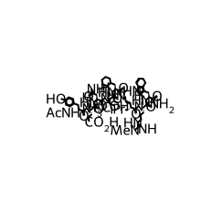 CNC(=N)NCCC[C@H](NC(=O)[C@@H](/C=C/CNC(=O)[C@H](CC1CCCCC1)NC(=O)[C@@H](NC(=O)[C@H](CC(N)=O)NC(=O)[C@H](CCC(=O)O)NC(=O)[C@@H](Cc1ccc(O)cc1)NC(C)=O)[C@@H](C)O)CC(C)C)C(=O)N[C@@H](Cc1c[nH]c2c1CCC=C2)C(N)=O